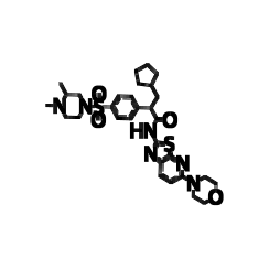 CC1CN(S(=O)(=O)c2ccc(C(CC3CCCC3)C(=O)Nc3nc4ccc(N5CCOCC5)nc4s3)cc2)CCN1C